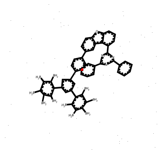 Bc1c(B)c(B)c(-c2cc(-c3ccc(-c4ccc5oc6cccc(-c7nc(-c8ccccc8)nc(-c8ccccc8)n7)c6c5c4)cc3)cc(-c3c(B)c(B)c(B)c(B)c3B)c2)c(B)c1B